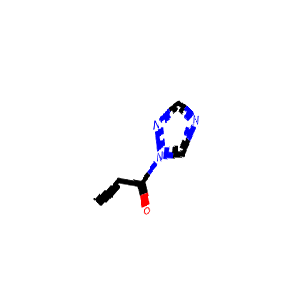 C=CC(=O)n1cncn1